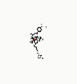 Cc1ccc(C2=CC(=O)N(S(=O)(=O)C3CC3)C(c3ccc(OCCCCCC(F)(F)F)cc3F)(C(F)(F)F)C2)cc1